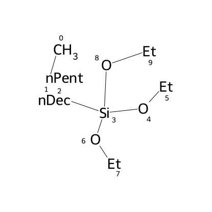 CCCCCC.CCCCCCCCCC[Si](OCC)(OCC)OCC